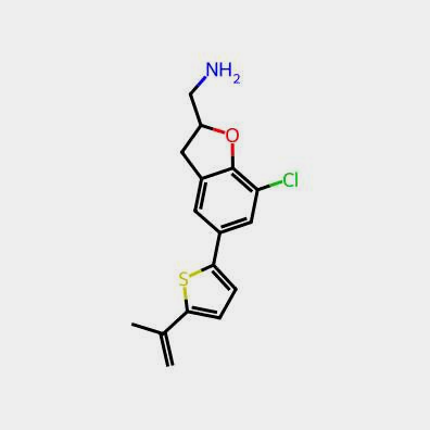 C=C(C)c1ccc(-c2cc(Cl)c3c(c2)CC(CN)O3)s1